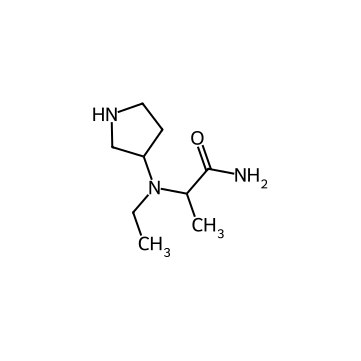 CCN(C1CCNC1)C(C)C(N)=O